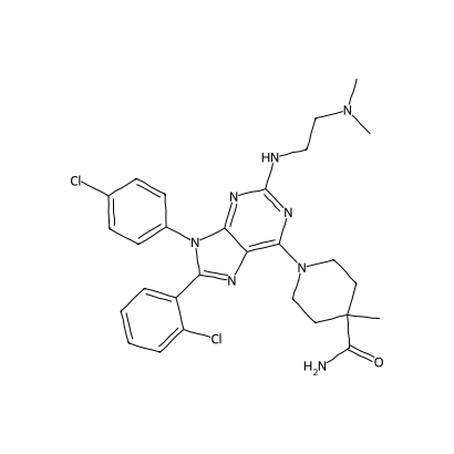 CN(C)CCNc1nc(N2CCC(C)(C(N)=O)CC2)c2nc(-c3ccccc3Cl)n(-c3ccc(Cl)cc3)c2n1